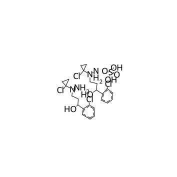 NN(CCC(O)c1ccccc1Cl)C1(Cl)CC1.NN(CCC(O)c1ccccc1Cl)C1(Cl)CC1.O=S(=O)(O)O